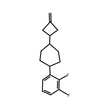 C=C1CC(C2CCC(c3cccc(F)c3F)CC2)C1